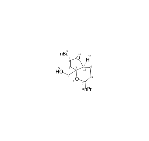 CCCC[C@H]1CC2(CO)OC(CCC)CC[C@@H]2O1